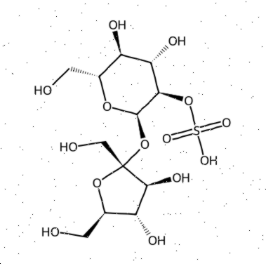 O=S(=O)(O)O[C@H]1[C@@H](O[C@@]2(CO)O[C@H](CO)[C@@H](O)[C@@H]2O)O[C@H](CO)[C@@H](O)[C@@H]1O